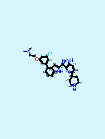 CN(C)CCOc1cc(F)cc(-c2cccc3[nH]c(-c4n[nH]c5ccc(C6CCNCC6)nc45)cc23)c1